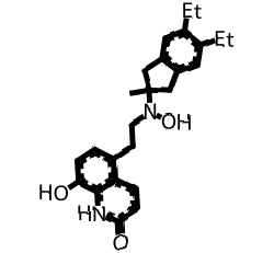 CCc1cc2c(cc1CC)CC(C)(N(O)CCc1ccc(O)c3[nH]c(=O)ccc13)C2